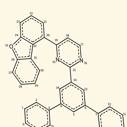 c1ccc(-c2cc(-c3ccccc3)cc(-c3nccc(-c4cccc5oc6ccccc6c45)n3)c2)cc1